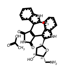 CC(=O)O.Cc1[nH]c2ccccc2c1C1=C(c2c([C@@H]3C[C@@H](O)[C@@H](CN)O3)[nH]c3ccccc23)C(=O)NC1=O